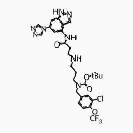 CC(C)(C)OC(=O)N(CCCNCCC(=O)Nc1cc(-n2cnnc2)cc2[nH]ncc12)Cc1ccc(OC(F)(F)F)c(Cl)c1